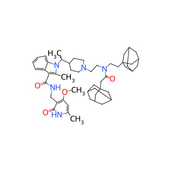 COc1cc(C)[nH]c(=O)c1CNC(=O)c1c(C)n([C@@H](C)C2CCN(CCN(CCC34CC5CC(CC(C5)C3)C4)C(=O)CC34CC5CC(CC(C5)C3)C4)CC2)c2ccccc12